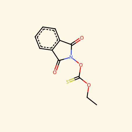 CCOC(=S)ON1C(=O)c2ccccc2C1=O